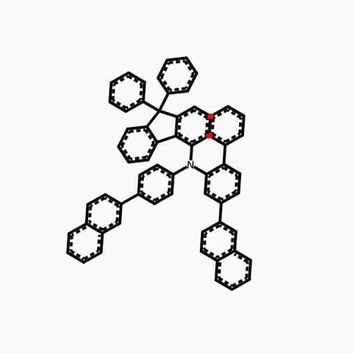 c1ccc(-c2ccc(-c3ccc4ccccc4c3)cc2N(c2ccc(-c3ccc4ccccc4c3)cc2)c2cccc3c2-c2ccccc2C3(c2ccccc2)c2ccccc2)cc1